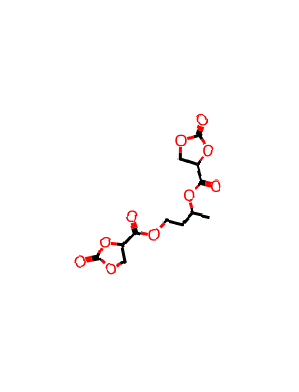 CC(CCOC(=O)C1COC(=O)O1)OC(=O)C1COC(=O)O1